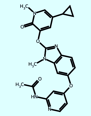 CC(=O)Nc1cc(Oc2ccc3nc(Oc4cc(C5CC5)cn(C)c4=O)n(C)c3c2)ccn1